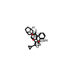 COC(=O)c1ccc(N2C3CC[C@H]2CC(OCc2c(-c4ccccc4OC(F)(F)F)noc2C2CC2)C3)c(F)c1